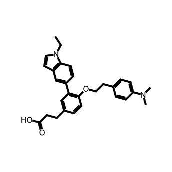 CCn1ccc2cc(-c3cc(CCC(=O)O)ccc3OCCc3ccc(N(C)C)cc3)ccc21